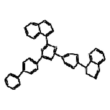 c1ccc(-c2ccc(-c3cc(-c4ccc(-c5cccc6cccnc56)cc4)nc(-c4cccc5ccccc45)n3)cc2)cc1